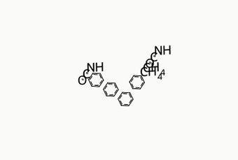 C.C.N=C=O.N=C=O.c1ccccc1.c1ccccc1.c1ccccc1.c1ccccc1